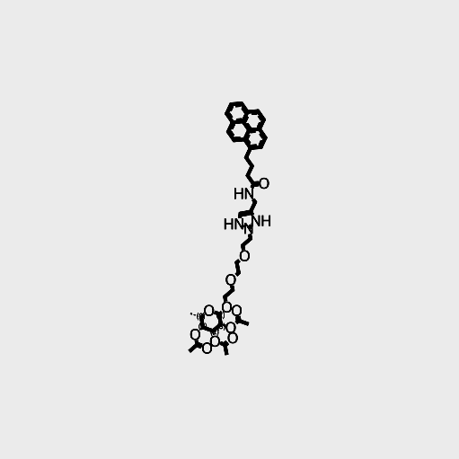 CC(=O)O[C@H]1[C@H](OC(C)=O)[C@H](OCCOCCOCCN2NC=C(CNC(=O)CCCc3ccc4ccc5cccc6ccc3c4c56)N2)O[C@@H](C)[C@H]1OC(C)=O